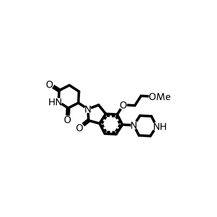 COCCOc1c(N2CCNCC2)ccc2c1CN(C1CCC(=O)NC1=O)C2=O